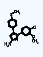 COc1cc(-n2nc(N)cc2-c2ccc(SC)cc2)ccc1Cl